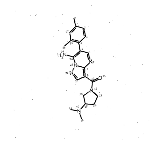 Cc1ccc(-c2cnc3c(C(=O)N4CCC(N(C)C)C4)cnn3c2N)c(C)c1